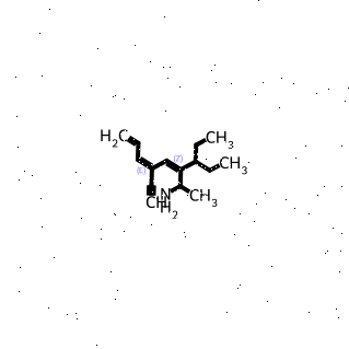 C#CC(/C=C(\C(C)N)C(CC)CC)=C/C=C